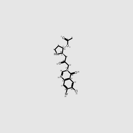 CC(=O)O[C@H]1CCN[C@@H]1CC(=O)Cn1cnc2cc(Br)c(Cl)cc2c1=O